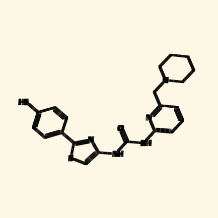 O=C(Nc1cccc(CN2CCCCC2)n1)Nc1csc(-c2ccc(S)cc2)n1